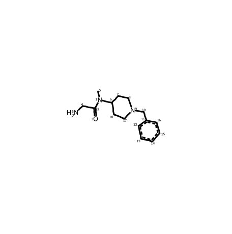 CN(C(=O)CN)C1CCN(Cc2ccccc2)CC1